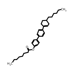 CCCCCCCC(=O)Oc1ccc(-c2ccc(C3=CCC(CCCCCC)CC3)cc2)cc1